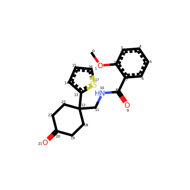 COc1ccccc1C(=O)NCC1(c2cccs2)CCC(=O)CC1